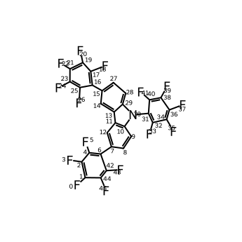 Fc1c(F)c(F)c(-c2ccc3c(c2)c2cc(-c4c(F)c(F)c(F)c(F)c4F)ccc2n3-c2c(F)c(F)c(F)c(F)c2F)c(F)c1F